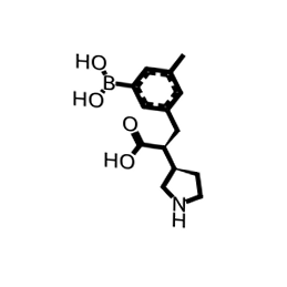 Cc1cc(C[C@H](C(=O)O)[C@H]2CCNC2)cc(B(O)O)c1